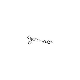 C=Cc1ccc(COCCCCCCc2ccc(N(c3ccccc3)c3ccccc3)cc2)cc1